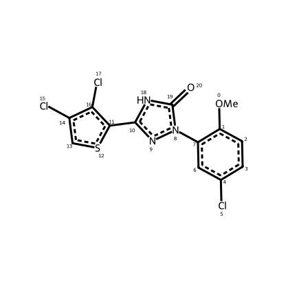 COc1ccc(Cl)cc1-n1nc(-c2scc(Cl)c2Cl)[nH]c1=O